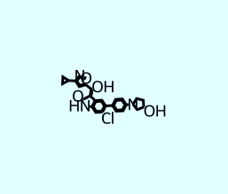 O=C1Nc2cc(Cl)c(-c3ccc(N4CCC(O)C4)cc3)cc2C1=C(O)c1cc(C2CC2)no1